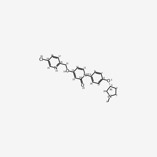 CN1CC[C@@H](Oc2ccc(-n3ccc(OCc4ccc(Cl)cn4)cc3=O)cc2)C1